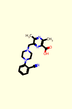 Cc1nc(C)c(C(=O)O)nc1CN1CCN(c2ccccc2C#N)CC1